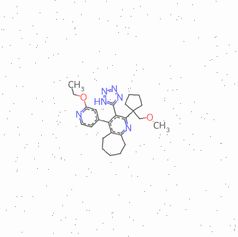 CCOc1cc(-c2c3c(nc(C4(COC)CCCC4)c2-c2nnn[nH]2)CCCCC3)ccn1